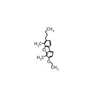 CCCCc1ccc2c(oc3c(C)c(OCC)ccc32)c1C